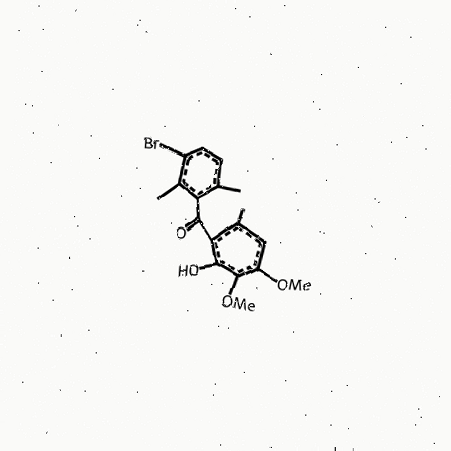 COc1cc(C)c(C(=O)c2c(C)ccc(Br)c2C)c(O)c1OC